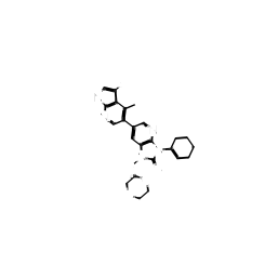 Cc1c(-c2cnc3c(c2)n(C[C@H]2COCCO2)c(=O)n3C2=CCCCC2)cnc2[nH]cc(Cl)c12